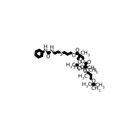 CC(C)OCC(C)(COC(=O)C(C)(C)OC(C)(C)CCOC(C)(C)C)C(=O)OCCCSCCNC(=O)Nc1ccccc1